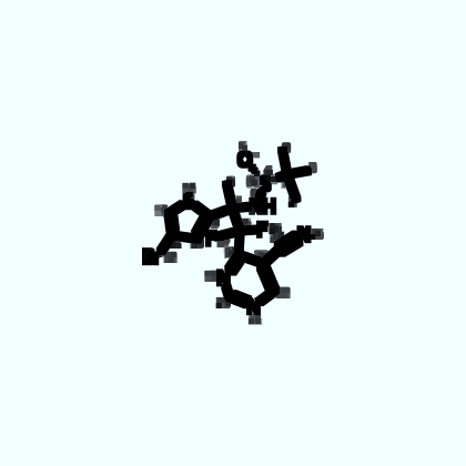 CC(C)(C)[S@@+]([O-])NC(C)(c1cc(Br)cs1)C(F)(F)c1ncncc1C#N